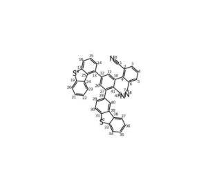 N#Cc1cccc(C#N)c1-c1cc(-c2cccc3sc4ccccc4c23)cc(-c2ccc3sc4ccccc4c3c2)c1C#N